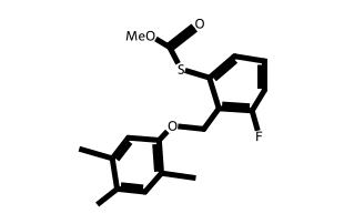 COC(=O)Sc1cccc(F)c1COc1cc(C)c(C)cc1C